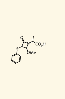 COC1C(Sc2ccccc2)C(=O)N1C(C)C(=O)O